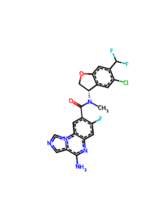 CN(C(=O)c1cc2c(cc1F)nc(N)c1cncn12)[C@@H]1COc2cc(C(F)F)c(Cl)cc21